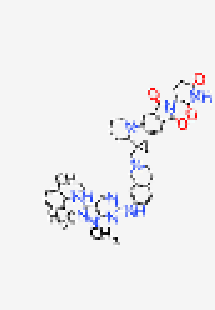 Cc1cccc(C)c1Nc1nn(C)c2nc(Nc3ccc4c(c3)CN(CC3(C5CCCCN5c5ccc6c(c5)C(=O)N(C5CCC(=O)NC5=O)C6=O)CC3)CC4)ncc12